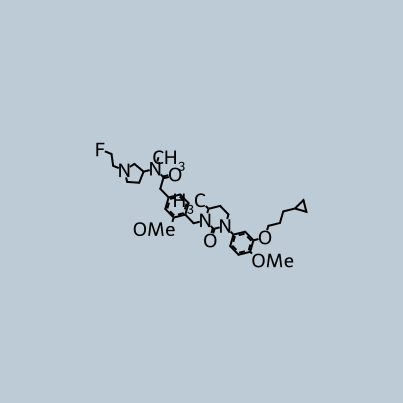 COc1cc(CC(=O)N(C)C2CCN(CCF)C2)ccc1CN1C(=O)N(c2ccc(OC)c(OCCCC3CC3)c2)CCC1C